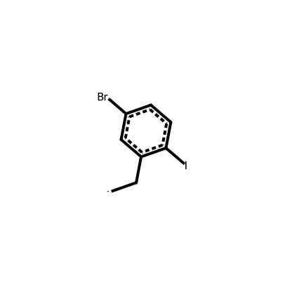 [CH2]Cc1cc(Br)ccc1I